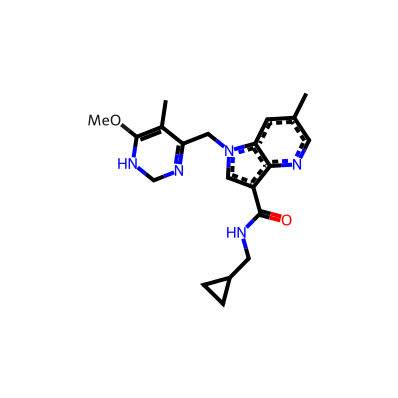 COC1=C(C)C(Cn2cc(C(=O)NCC3CC3)c3ncc(C)cc32)=NCN1